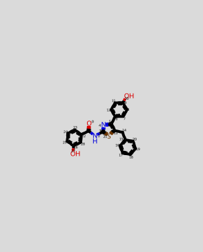 O=C(Nc1nc(-c2ccc(O)cc2)c(Cc2ccccc2)s1)c1cccc(O)c1